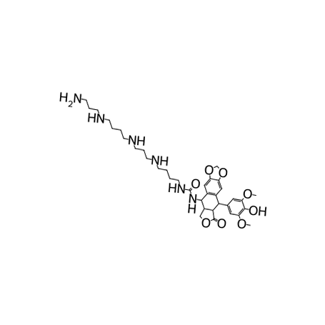 COc1cc(C2c3cc4c(cc3C(NC(=O)NCCCCNCCCNCCCCNCCCN)C3COC(=O)C23)OCO4)cc(OC)c1O